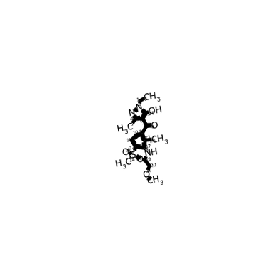 CCn1nc(C)c(C(=O)c2ccc(S(C)(=O)=O)c(NCCOC)c2C)c1O